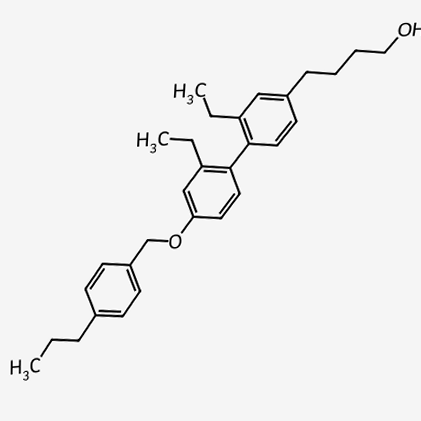 CCCc1ccc(COc2ccc(-c3ccc(CCCCO)cc3CC)c(CC)c2)cc1